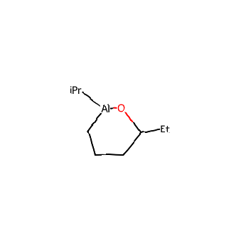 CCC1CC[CH2][Al]([CH](C)C)[O]1